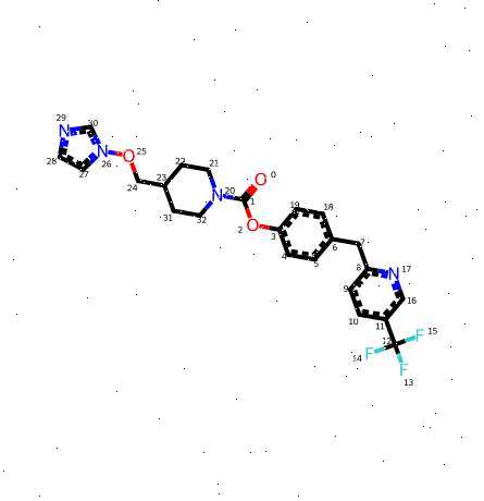 O=C(Oc1ccc(Cc2ccc(C(F)(F)F)cn2)cc1)N1CCC(COn2ccnc2)CC1